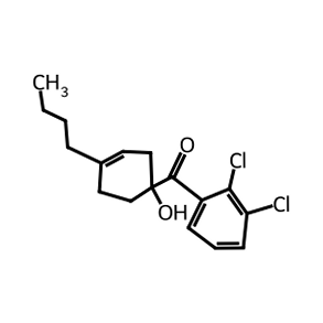 CCCCC1=CCC(O)(C(=O)c2cccc(Cl)c2Cl)CC1